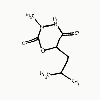 CC(C)CC1OC(=O)N(C)NC1=O